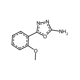 COc1ccccc1-c1nnc(N)o1